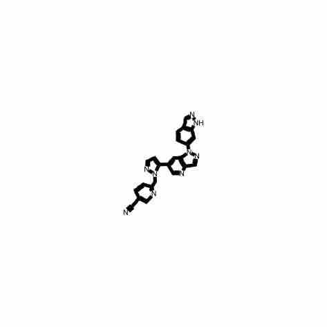 N#Cc1ccc(Cn2nccc2-c2cnc3cnn(-c4ccc5cn[nH]c5c4)c3c2)nc1